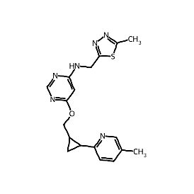 Cc1ccc(C2CC2COc2cc(NCc3nnc(C)s3)ncn2)nc1